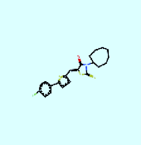 O=C1C(=Cc2ccc(-c3ccc(F)cc3)s2)SC(=S)N1C1CCCCCCC1